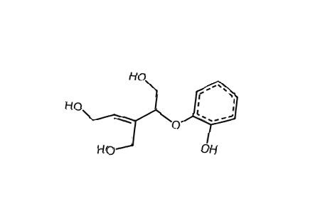 OCC=C(CO)C(CO)Oc1ccccc1O